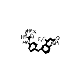 CCCCCCNC(=O)Nc1ccc(Cc2ccc3[nH]c(=O)cc(C(F)(F)F)c3c2)cc1